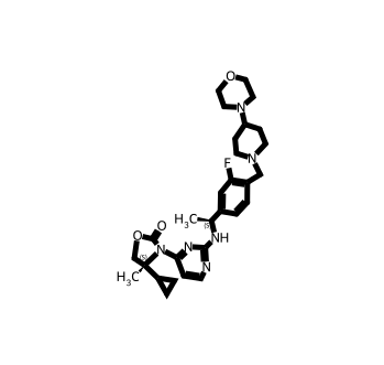 C[C@H](Nc1nccc(N2C(=O)OC[C@]2(C)C2CC2)n1)c1ccc(CN2CCC(N3CCOCC3)CC2)c(F)c1